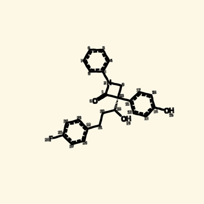 O=C1N(c2ccccc2)C[C@]1(c1ccc(O)cc1)C(O)CCc1ccc(F)cc1